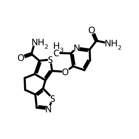 Cc1nc(C(N)=O)ccc1Oc1sc(C(N)=O)c2c1-c1sncc1CC2